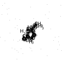 Cc1cccc(C)c1-c1cc2nc(n1)NS(=O)(=O)c1cccc(c1)C(=O)N([C@H]1C[C@@H](NC(=O)OC(C)C)C1)[C@H](CC(C)C)CO2